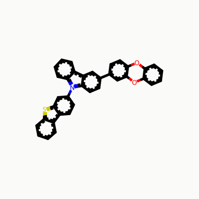 c1ccc2c(c1)Oc1ccc(-c3ccc4c(c3)c3ccccc3n4-c3ccc4c(c3)sc3ccccc34)cc1O2